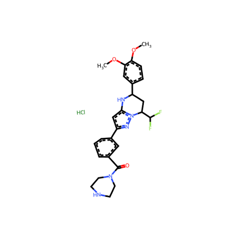 COc1ccc(C2CC(C(F)F)n3nc(-c4cccc(C(=O)N5CCNCC5)c4)cc3N2)cc1OC.Cl